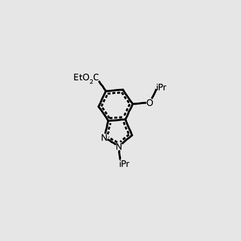 CCOC(=O)c1cc(OC(C)C)c2cn(C(C)C)nc2c1